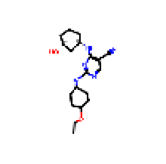 CCOC1CCC(Nc2ncc(C#N)c(N[C@H]3CCC[C@@H](O)C3)n2)CC1